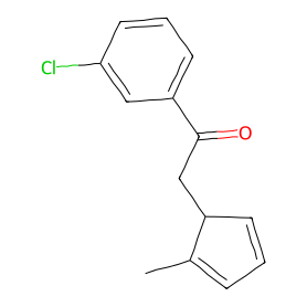 CC1=CC=CC1CC(=O)c1cccc(Cl)c1